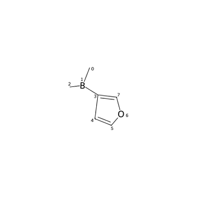 CB(C)c1ccoc1